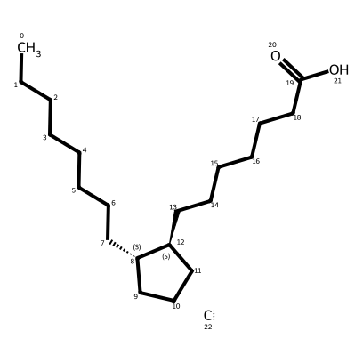 CCCCCCCC[C@H]1CCC[C@@H]1CCCCCCC(=O)O.[C]